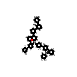 c1ccc(-c2ccc(N(c3ccc(-c4cccc(-c5cccc6c5sc5ccccc56)c4)cc3)c3ccc(-c4ccc5c6ccccc6n(-c6ccccc6)c5c4)cc3)c(-c3ccccc3)c2)cc1